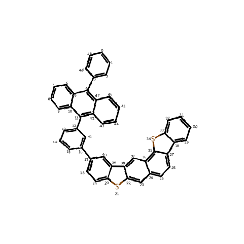 c1ccc(-c2c3ccccc3c(-c3cccc(-c4ccc5sc6cc7ccc8c9ccccc9sc8c7cc6c5c4)c3)c3ccccc23)cc1